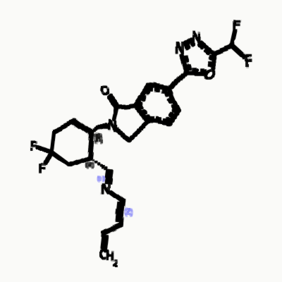 C=C/C=C\N=C\[C@@H]1CC(F)(F)CC[C@H]1N1Cc2ccc(-c3nnc(C(F)F)o3)cc2C1=O